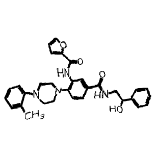 Cc1ccccc1N1CCN(c2ccc(C(=O)NCC(O)c3ccccc3)cc2NC(=O)c2ccco2)CC1